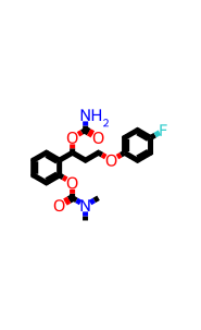 CN(C)C(=O)Oc1ccccc1C(CCOc1ccc(F)cc1)OC(N)=O